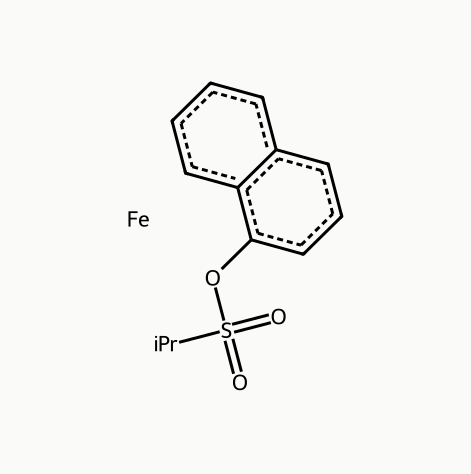 CC(C)S(=O)(=O)Oc1cccc2ccccc12.[Fe]